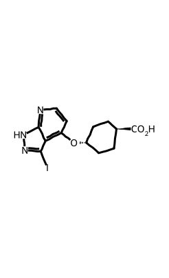 O=C(O)[C@H]1CC[C@H](Oc2ccnc3[nH]nc(I)c23)CC1